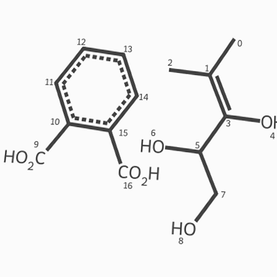 CC(C)=C(O)C(O)CO.O=C(O)c1ccccc1C(=O)O